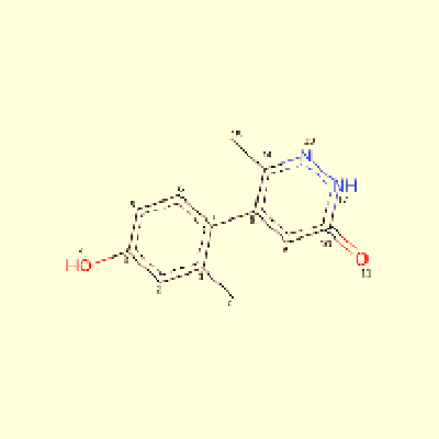 Cc1cc(O)ccc1-c1cc(=O)[nH]nc1C